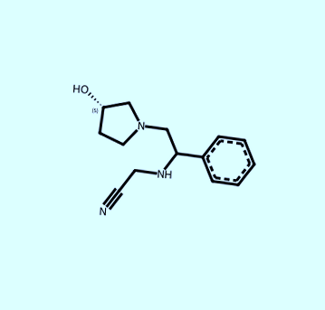 N#CCNC(CN1CC[C@H](O)C1)c1ccccc1